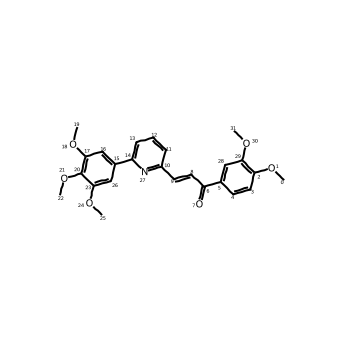 COc1ccc(C(=O)C=Cc2cccc(-c3cc(OC)c(OC)c(OC)c3)n2)cc1OC